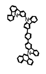 c1ccc2c(c1)cc(-n1c3ccccc3c3cc(-c4ccc(-c5ccc6c(c5)c5ccccc5n6-c5ccc6c7cccc8c9ccccc9n(c6c5)c87)cc4)ccc31)c1ccccc12